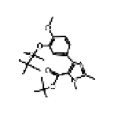 COc1ccc(-c2nc(C)n(C)c2C(=O)OC(C)(C)C)cc1O[Si](C)(C)C(C)(C)C